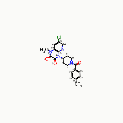 Cn1c(=O)c(=O)n(C2CCN(C(=O)c3ccc(C(F)(F)F)cc3)CC2)c2ncc(Cl)cc21